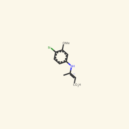 COc1cc(N/C(C)=C/C(=O)O)ccc1Br